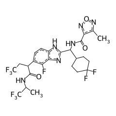 Cc1nonc1C(=O)NC(c1nc2c(F)c(C(CC(F)(F)F)C(=O)NC(C)C(F)(F)F)ccc2[nH]1)C1CCC(F)(F)CC1